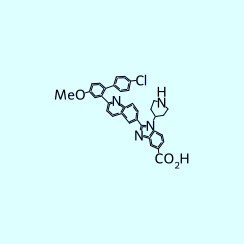 COc1ccc(-c2ccc(Cl)cc2)c(-c2ccc3cc(-c4nc5cc(C(=O)O)ccc5n4C4CCNCC4)ccc3n2)c1